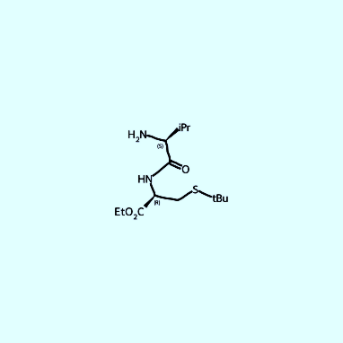 CCOC(=O)[C@H](CSC(C)(C)C)NC(=O)[C@@H](N)C(C)C